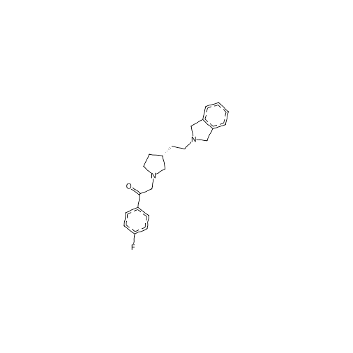 O=C(CN1CC[C@H](CCN2Cc3ccccc3C2)C1)c1ccc(F)cc1